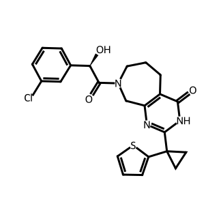 O=C([C@H](O)c1cccc(Cl)c1)N1CCCc2c(nc(C3(c4cccs4)CC3)[nH]c2=O)C1